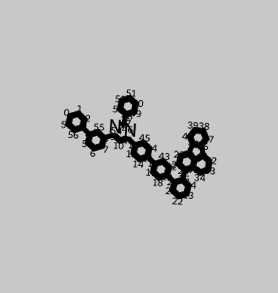 c1ccc(-c2cccc(-c3cc(-c4ccc(-c5ccc(-c6ccccc6-c6ccc7c8c(cccc68)-c6ccccc6-7)cc5)cc4)nc(-c4ccccc4)n3)c2)cc1